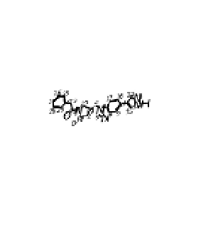 C[C@H]1C[C@@H](Cn2cnc3cc(-c4cn[nH]c4)ccc32)CN1C(=O)Cc1ccccc1